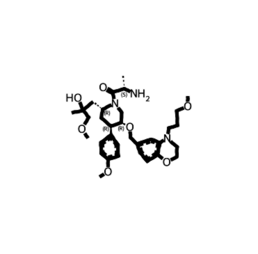 COCCCN1CCOc2ccc(CO[C@H]3CN(C(=O)[C@H](C)N)[C@@H](CC(C)(O)COC)C[C@@H]3c3ccc(OC)cc3)cc21